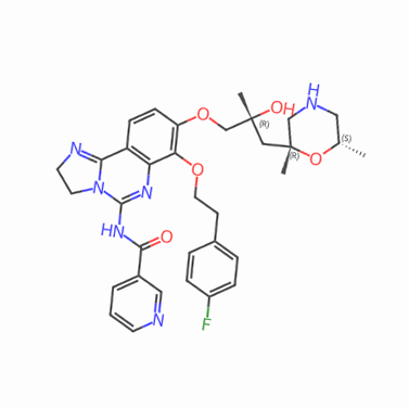 C[C@H]1CNC[C@@](C)(C[C@@](C)(O)COc2ccc3c(c2OCCc2ccc(F)cc2)N=C(NC(=O)c2cccnc2)N2CCN=C32)O1